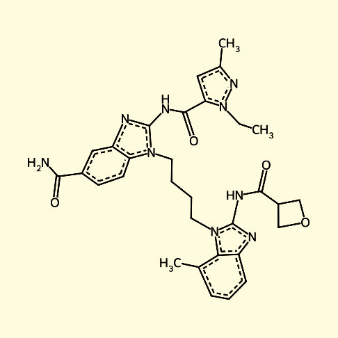 CCn1nc(C)cc1C(=O)Nc1nc2cc(C(N)=O)ccc2n1CCCCn1c(NC(=O)C2COC2)nc2cccc(C)c21